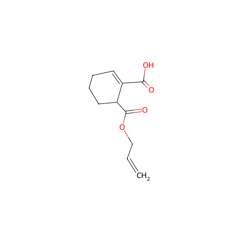 C=CCOC(=O)C1CCCC=C1C(=O)O